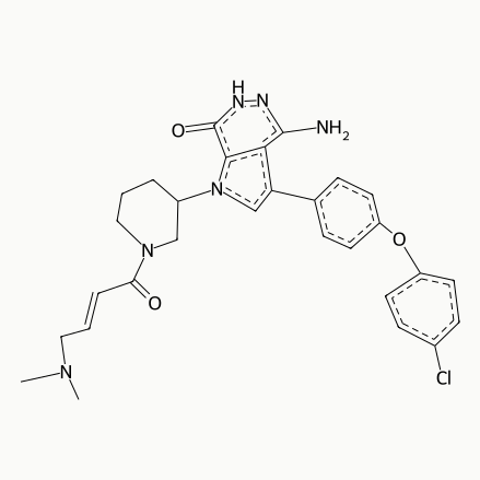 CN(C)C/C=C/C(=O)N1CCCC(n2cc(-c3ccc(Oc4ccc(Cl)cc4)cc3)c3c(N)n[nH]c(=O)c32)C1